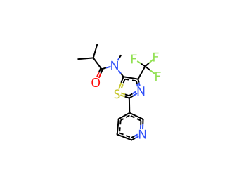 CC(C)C(=O)N(C)c1sc(-c2cccnc2)nc1C(F)(F)F